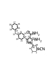 N#CN1CCC[C@@H](n2nc(-c3ccc(Cc4ccccc4)cc3)c(C(N)=O)c2N)C1